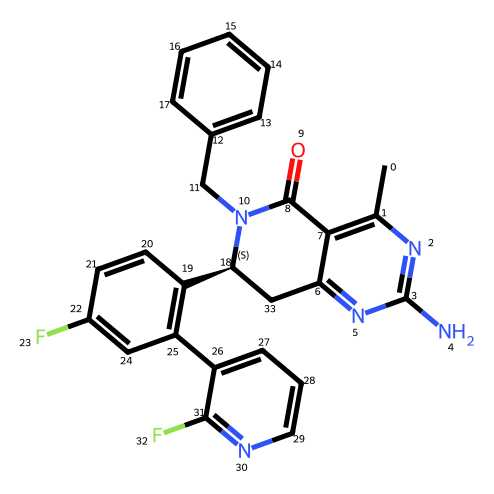 Cc1nc(N)nc2c1C(=O)N(Cc1ccccc1)[C@H](c1ccc(F)cc1-c1cccnc1F)C2